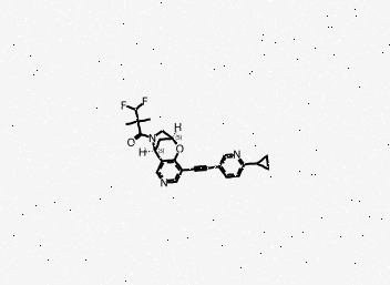 CC(C)(C(=O)N1C[C@@H]2C[C@H]1c1cncc(C#Cc3ccc(C4CC4)nc3)c1O2)C(F)F